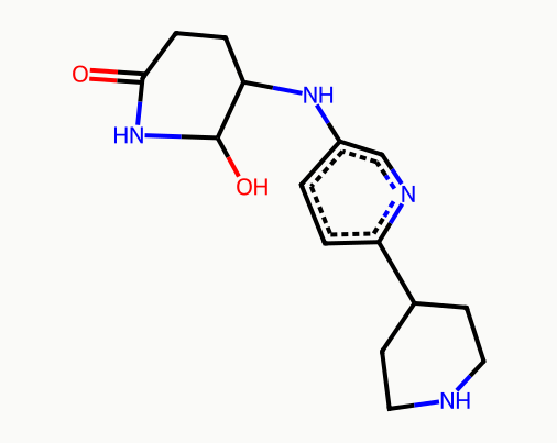 O=C1CCC(Nc2ccc(C3CCNCC3)nc2)C(O)N1